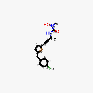 C[C@H](C#Cc1ccc(Cc2ccc(F)cc2)s1)NC(=O)N(C)O